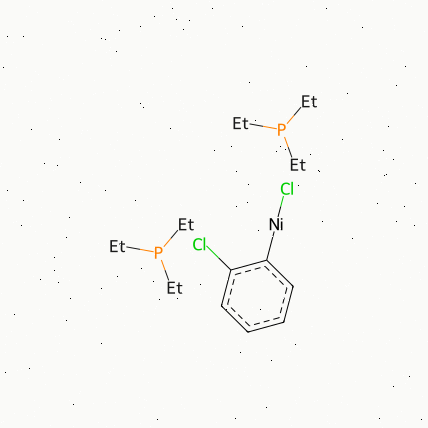 CCP(CC)CC.CCP(CC)CC.[Cl][Ni][c]1ccccc1Cl